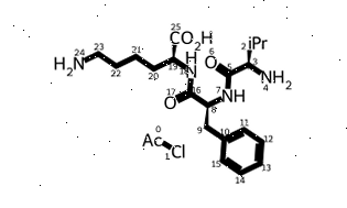 CC(=O)Cl.CC(C)[C@@H](N)C(=O)N[C@@H](Cc1ccccc1)C(=O)N[C@@H](CCCCN)C(=O)O